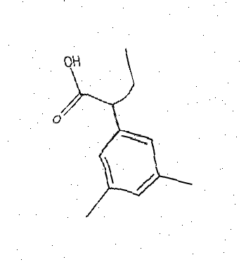 CCC(C(=O)O)c1cc(C)cc(C)c1